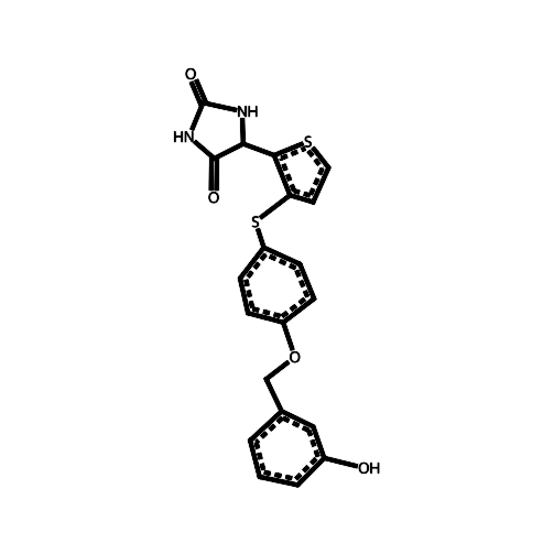 O=C1NC(=O)C(c2sccc2Sc2ccc(OCc3cccc(O)c3)cc2)N1